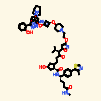 CNC(=O)CCC[C@H](NC(=O)[C@@H]1C[C@@H](O)CC1CCC(=O)[C@H](c1cc(OCCN2CCC(O[C@H]3C[C@H](Oc4cc(N5C6CCC5CN(c5cc(-c7ccccc7O)nnc5N)C6)ccn4)C3)CC2)no1)C(C)C)c1ccc(-c2scnc2C)cc1